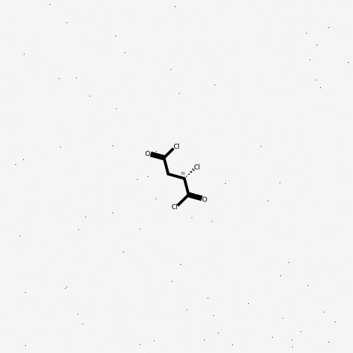 O=C(Cl)C[C@H](Cl)C(=O)Cl